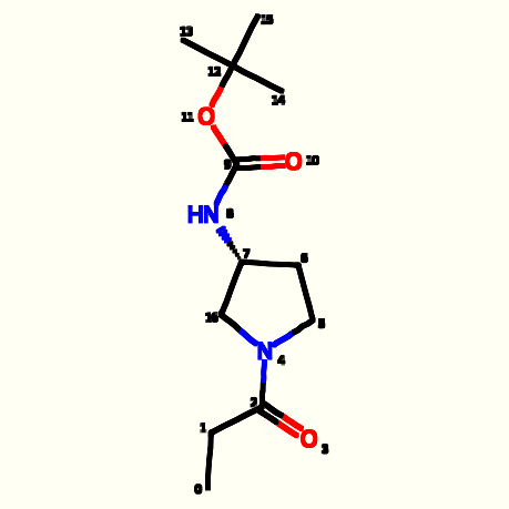 CCC(=O)N1CC[C@@H](NC(=O)OC(C)(C)C)C1